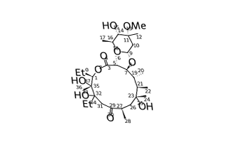 CC[C@H]1OC(=O)[C@H](C)[C@@H](O[C@H]2C[C@@](C)(OC)[C@@H](O)[C@H](C)O2)[C@H](C)[C@@H](C)[C@](C)(O)C[C@@H](C)C(=O)CC(O)(CC)[C@]1(C)O